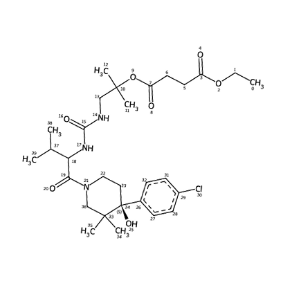 CCOC(=O)CCC(=O)OC(C)(C)CNC(=O)NC(C(=O)N1CC[C@](O)(c2ccc(Cl)cc2)C(C)(C)C1)C(C)C